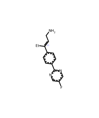 CC/C(=C\CN)c1ccc(-c2ncc(F)cn2)cc1